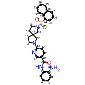 Nc1ccccc1NC(=O)c1ccc(N2CCC3(CCN(S(=O)(=O)c4cccc5ccccc45)C3)C2)nc1